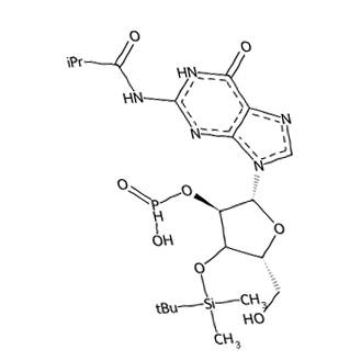 CC(C)C(=O)Nc1nc2c(ncn2[C@@H]2O[C@H](CO)C(O[Si](C)(C)C(C)(C)C)[C@H]2O[PH](=O)O)c(=O)[nH]1